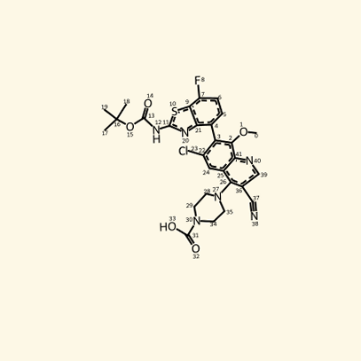 COc1c(-c2ccc(F)c3sc(NC(=O)OC(C)(C)C)nc23)c(Cl)cc2c(N3CCN(C(=O)O)CC3)c(C#N)cnc12